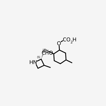 CC1CCC(C(C)C)C(OC(=O)O)C1.CC1CN[C@@H]1C=O